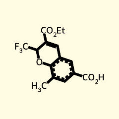 CCOC(=O)C1=Cc2cc(C(=O)O)cc(C)c2OC1C(F)(F)F